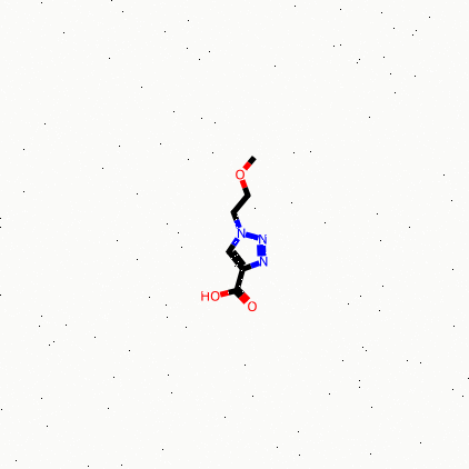 COCCn1cc(C(=O)O)nn1